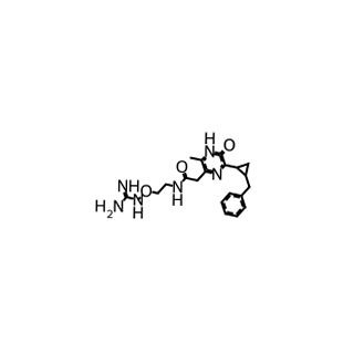 Cc1[nH]c(=O)c(C2CC2Cc2ccccc2)nc1CC(=O)NCCONC(=N)N